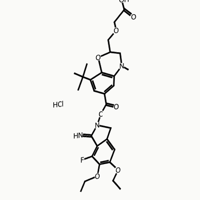 CCOc1cc2c(c(F)c1OCC)C(=N)N(CC(=O)c1cc3c(c(C(C)(C)C)c1)OC(COCC(=O)O)CN3C)C2.Cl